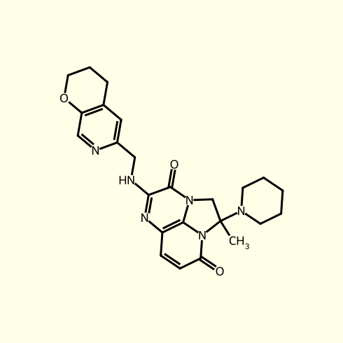 CC1(N2CCCCC2)Cn2c(=O)c(NCc3cc4c(cn3)OCCC4)nc3ccc(=O)n1c32